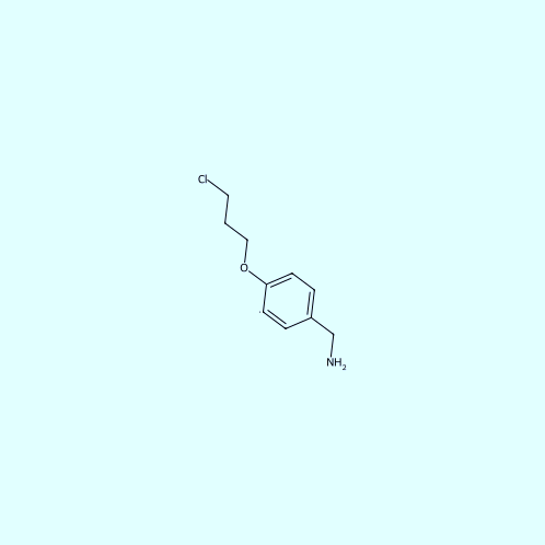 NCc1c[c]c(OCCCCl)cc1